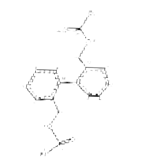 CCC(=O)OCc1ccccc1-c1ccccc1COC(=O)CC